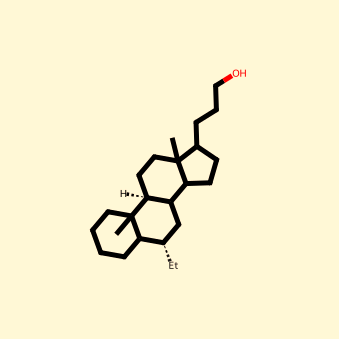 CC[C@H]1CC2C3CCC(CCCO)C3(C)CC[C@@H]2C2(C)CCCCC12